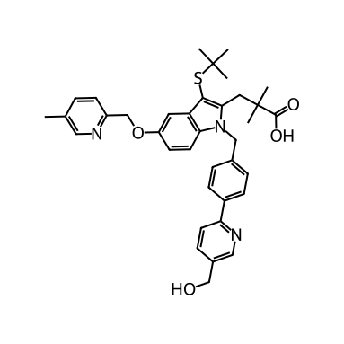 Cc1ccc(COc2ccc3c(c2)c(SC(C)(C)C)c(CC(C)(C)C(=O)O)n3Cc2ccc(-c3ccc(CO)cn3)cc2)nc1